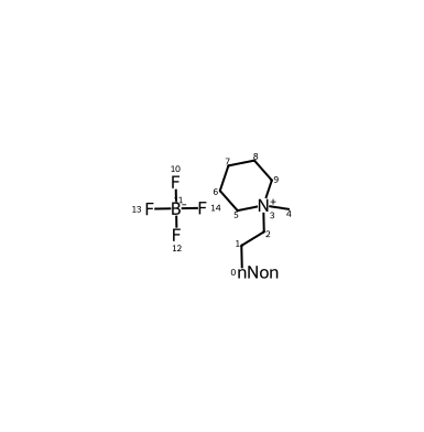 CCCCCCCCCCC[N+]1(C)CCCCC1.F[B-](F)(F)F